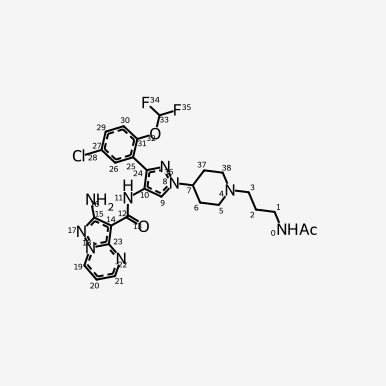 CC(=O)NCCCN1CCC(n2cc(NC(=O)c3c(N)nn4cccnc34)c(-c3cc(Cl)ccc3OC(F)F)n2)CC1